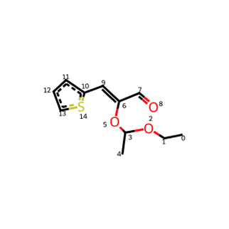 CCOC(C)OC(C=O)=Cc1cccs1